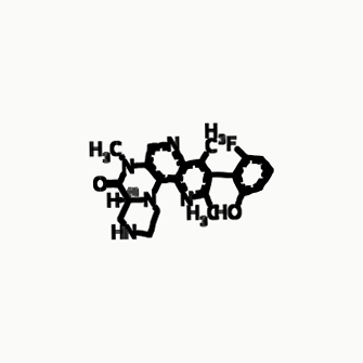 Cc1nc2c3c(cnc2c(C)c1-c1c(O)cccc1F)N(C)C(=O)[C@H]1CNCCN31